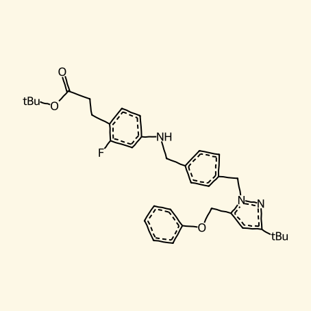 CC(C)(C)OC(=O)CCc1ccc(NCc2ccc(Cn3nc(C(C)(C)C)cc3COc3ccccc3)cc2)cc1F